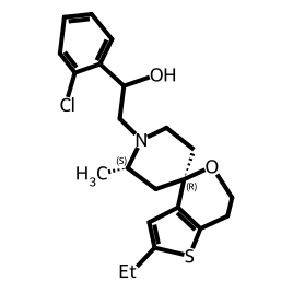 CCc1cc2c(s1)CCO[C@@]21CCN(CC(O)c2ccccc2Cl)[C@@H](C)C1